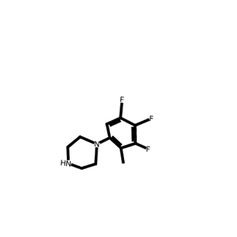 Cc1c(N2CCNCC2)cc(F)c(F)c1F